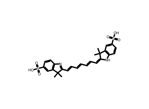 CC1(C)C(C=CC=CC=CC=C2Nc3ccc(S(=O)(=O)O)cc3C2(C)C)=Nc2ccc(S(=O)(=O)O)cc21